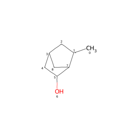 C[C]1CC2CC(O)C1C2